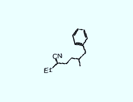 CCC(C#N)CCC(C)Cc1ccccc1